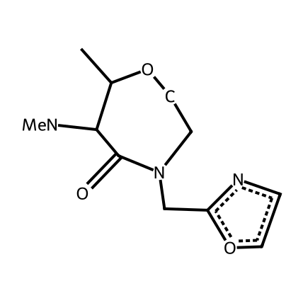 CNC1C(=O)N(Cc2ncco2)CCOC1C